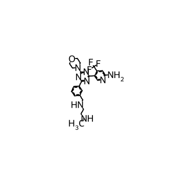 CNCCNCc1cccc(-c2nc(-c3cnc(N)cc3C(F)(F)F)nc(N3CCOCC3)n2)c1